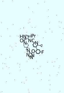 CC(C)[C@H]1CN[C@H](C(=O)N2CCC3(CC2)CN(c2ncnnc2Oc2ccc(F)cc2-c2ccc(C#N)nc2C2CC2)C3)C1